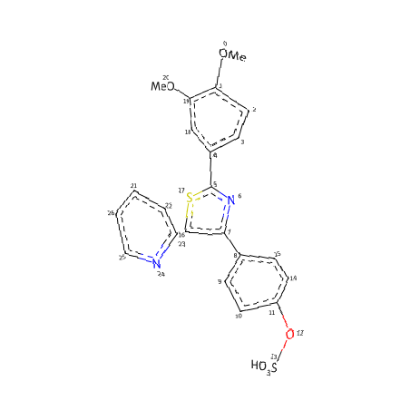 COc1ccc(-c2nc(-c3ccc(OS(=O)(=O)O)cc3)cs2)cc1OC.c1ccncc1